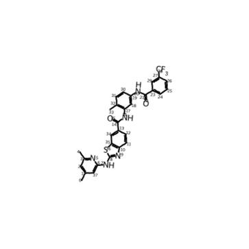 Cc1cc(C)nc(Nc2nc3ccc(C(=O)Nc4cc(NC(=O)c5cccc(C(F)(F)F)c5)ccc4C)cc3s2)c1